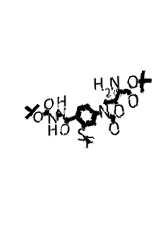 CC(C)(C)OC(=O)NNC(=O)c1ccc(N2CC([C@H](N)C(=O)OC(C)(C)C)OC2=O)cc1SF